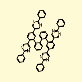 c1ccc(-c2ncc(-c3ccc(-c4cnc(-c5ccccc5)nc4)c(-c4ccccc4-c4ccccc4-c4cc(-c5cnc(-c6ccccc6)nc5)ccc4-c4cnc(-c5ccccc5)nc4)c3)cn2)cc1